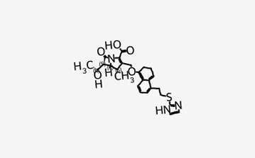 C[C@@H](O)[C@H]1C(=O)N2C(C(=O)O)=C(COC3=c4cccc(CCSc5ncc[nH]5)c4=CCC3)[C@H](C)[C@H]12